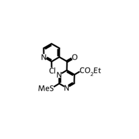 CCOC(=O)c1cnc(SC)nc1C(=O)c1cccnc1Cl